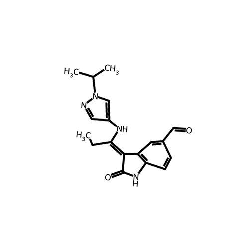 CCC(Nc1cnn(C(C)C)c1)=C1C(=O)Nc2ccc(C=O)cc21